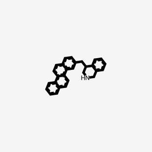 c1ccc2c(c1)CNCC2Cc1ccc2ccc3c4ccccc4ccc3c2c1